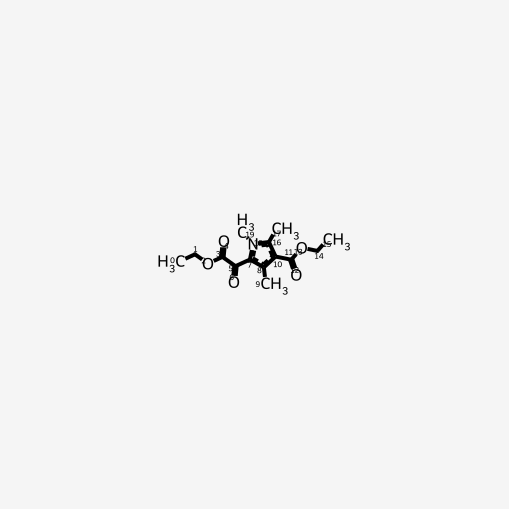 CCOC(=O)C(=O)c1c(C)c(C(=O)OCC)c(C)n1C